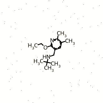 CCOc1nc(C)c(C)cc1CNC(C)(C)C